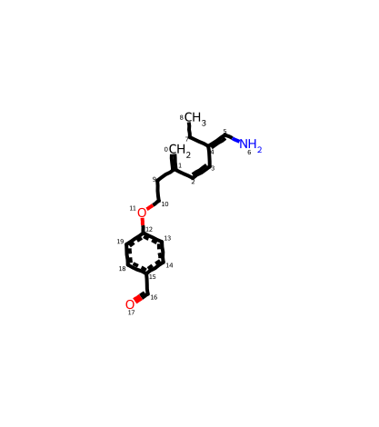 C=C(/C=C\C(=C/N)CC)CCOc1ccc(C=O)cc1